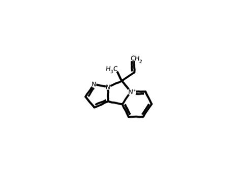 C=CC1(C)n2nccc2-c2cccc[n+]21